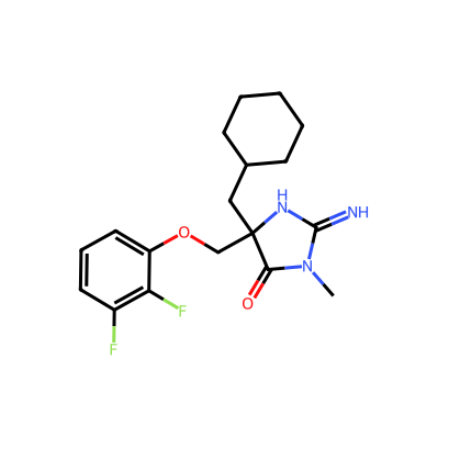 CN1C(=N)NC(COc2cccc(F)c2F)(CC2CCCCC2)C1=O